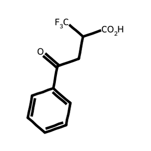 O=C(CC(C(=O)O)C(F)(F)F)c1ccccc1